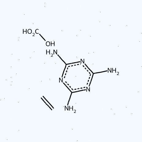 C=C.Nc1nc(N)nc(N)n1.O=C(O)O